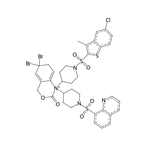 Cc1c(S(=O)(=O)N2CCC([N+]3(C4CCN(S(=O)(=O)c5cccc6cccnc56)CC4)C(=O)OCC4=CC(Br)(Br)CC=C43)CC2)sc2ccc(Cl)cc12